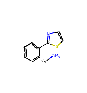 CCCCN.c1ccc(-c2nccs2)cc1